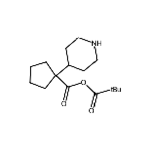 CC(C)(C)C(=O)OC(=O)C1(C2CCNCC2)CCCC1